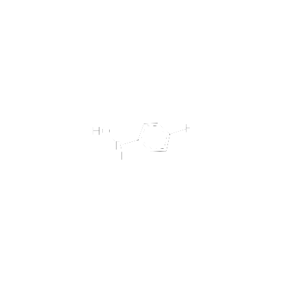 OBc1ccc(F)cc1